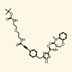 CN1C(=O)[C@@H](NC(=O)c2n[nH]c(Cc3ccc(C#CC(=O)NCCOCCNC(=O)OC(C)(C)C)cc3)n2)COc2ccccc21